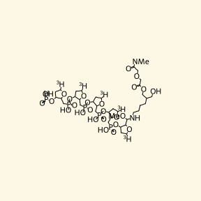 [3H]C1CC(O[PH](=O)O)C(CP(=O)(O)OC2CC([3H])OC2CP(=O)(O)OC2CC([3H])OC2CP(=O)(O)OC2CC([3H])OC2CP(=O)(O)OC2CC([3H])OC2C(NCCCCC(CO)COC(=O)COCC(=O)NC)OC)O1